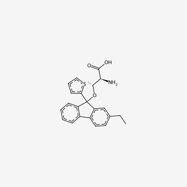 CCc1ccc2c(c1)C(O[C@H](C)[C@H](N)C(=O)O)(c1cccs1)c1ccccc1-2